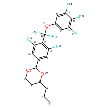 CCCC1CCOC(c2cc(F)c(C(F)(F)Oc3cc(F)c(F)c(F)c3)c(F)c2)O1